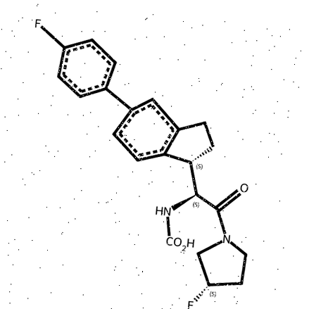 O=C(O)N[C@H](C(=O)N1CC[C@H](F)C1)[C@H]1CCc2cc(-c3ccc(F)cc3)ccc21